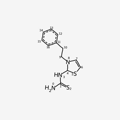 NC(=S)NC1SC=CN1CCc1ccccc1